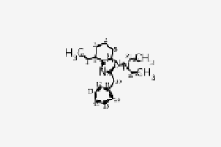 CCC1CCCc2c1nc(Cc1ccccc1)n2N(CC)CC